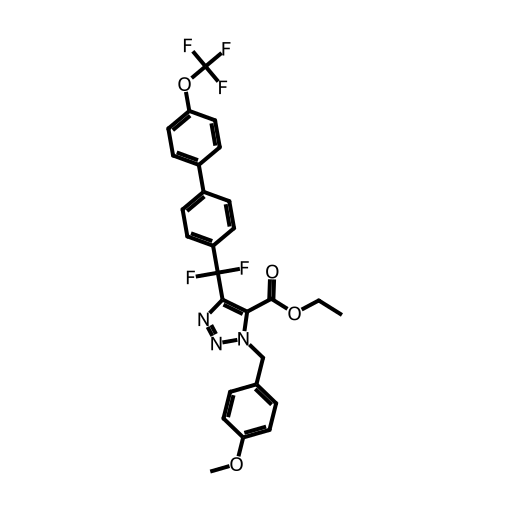 CCOC(=O)c1c(C(F)(F)c2ccc(-c3ccc(OC(F)(F)F)cc3)cc2)nnn1Cc1ccc(OC)cc1